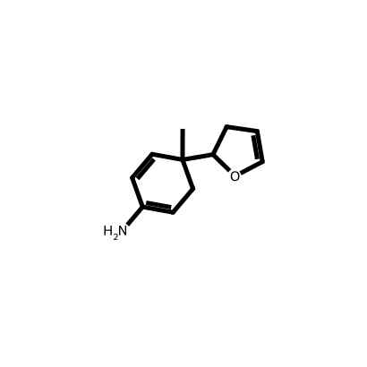 CC1(C2CC=CO2)C=CC(N)=CC1